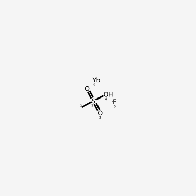 CS(=O)(=O)O.[F].[Yb]